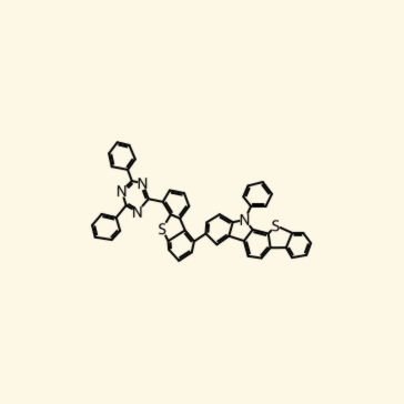 c1ccc(-c2nc(-c3ccccc3)nc(-c3cccc4c3sc3cccc(-c5ccc6c(c5)c5ccc7c8ccccc8sc7c5n6-c5ccccc5)c34)n2)cc1